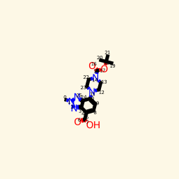 Cn1nc2c(C(=O)O)ccc(N3CCN(C(=O)OC(C)(C)C)CC3)c2n1